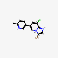 Cc1ccc(-c2cc(Cl)c3ncc(Br)n3c2)cn1